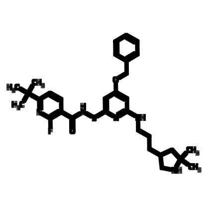 CC1(C)CC(CCCNc2cc(OCc3ccccc3)cc(SNC(=O)c3ccc(C(C)(C)C)nc3F)n2)CN1